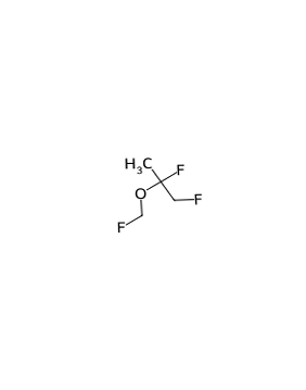 CC(F)(CF)OCF